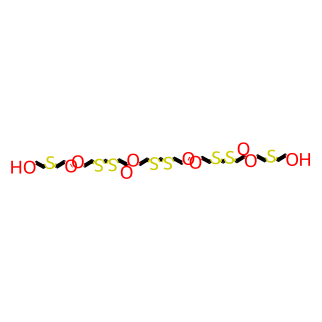 O=C(CSCSCCOOCCSCSCCOC(=O)CSCSCCOOCCSCCO)OCCSCCO